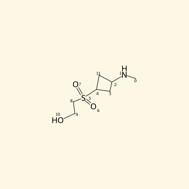 CNC1CC(S(=O)(=O)CCO)C1